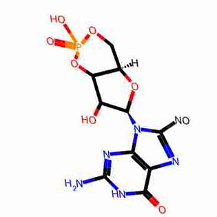 Nc1nc2c(nc(N=O)n2[C@@H]2O[C@@H]3COP(=O)(O)OC3C2O)c(=O)[nH]1